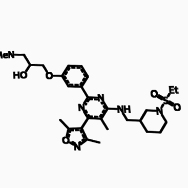 CCS(=O)(=O)N1CCCC(CNc2nc(-c3cccc(OCC(O)CNC)c3)nc(-c3c(C)noc3C)c2C)C1